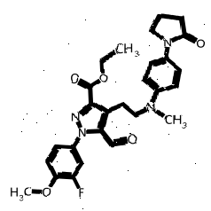 CCOC(=O)c1nn(-c2ccc(OC)c(F)c2)c(C=O)c1CCN(C)c1ccc(N2CCCC2=O)cc1